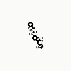 O=C(NC(=O)c1ccccc1F)Nc1ccc2c(c1)NC(=O)C2=Cc1ccc[nH]1